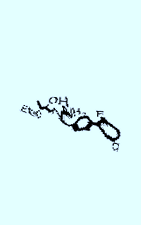 CCOC(C)[C@H](O)CN(N)Cc1ccc(-c2cc(Cl)ccc2F)cc1